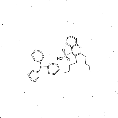 CCCCc1cc2ccccc2c(S(=O)(=O)O)c1CCCC.c1ccc(P(c2ccccc2)c2ccccc2)cc1